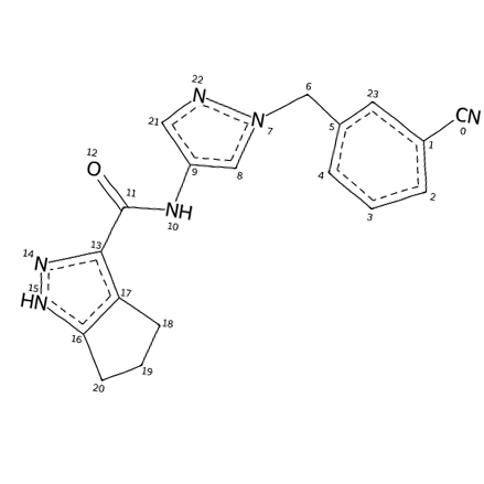 N#Cc1cccc(Cn2cc(NC(=O)c3n[nH]c4c3CCC4)cn2)c1